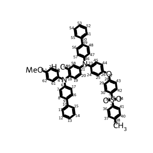 COc1ccc(N(c2ccc(-c3ccccc3)cc2)c2ccc(N(c3ccc(Oc4ccc(S(=O)(=O)c5ccc(C)cc5)cc4)cc3)c3ccc(-c4ccccc4)cc3)cc2C)cc1